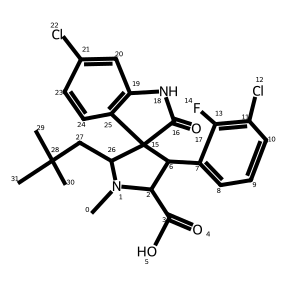 CN1C(C(=O)O)C(c2cccc(Cl)c2F)C2(C(=O)Nc3cc(Cl)ccc32)C1CC(C)(C)C